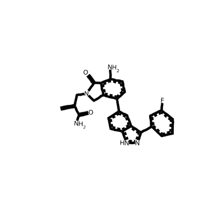 C=C(CN1Cc2c(-c3ccc4[nH]nc(-c5cccc(F)c5)c4c3)ccc(N)c2C1=O)C(N)=O